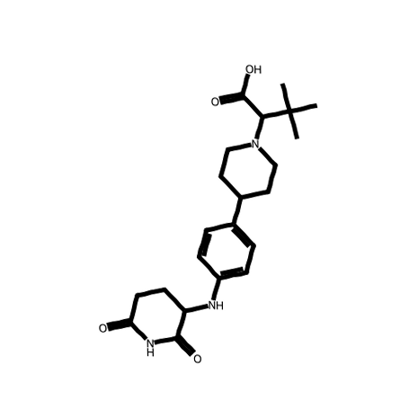 CC(C)(C)C(C(=O)O)N1CCC(c2ccc(NC3CCC(=O)NC3=O)cc2)CC1